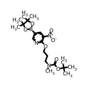 CN(CCCOc1ncc(B2OC(C)(C)C(C)(C)O2)cc1[N+](=O)[O-])C(=O)OC(C)(C)C